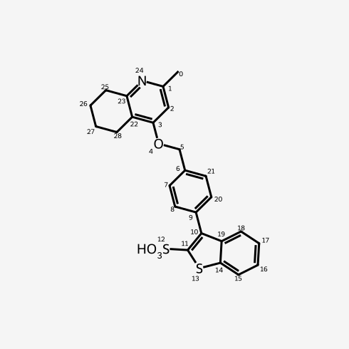 Cc1cc(OCc2ccc(-c3c(S(=O)(=O)O)sc4ccccc34)cc2)c2c(n1)CCCC2